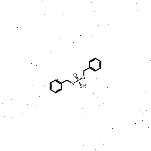 O=P(S)(SCc1ccccc1)SCc1ccccc1